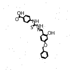 O=C(O)c1ccc(NC(=S)NN=Cc2ccc(OCc3ccccc3)cc2O)cc1